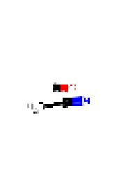 BC#N.C=O